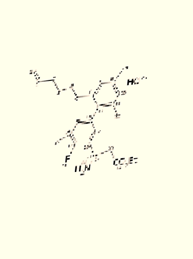 C=CCCCCc1cc(C)cc(C)c1-c1cc(C)c(F)c([C@@H](N)CC(=O)OCC)c1.Cl